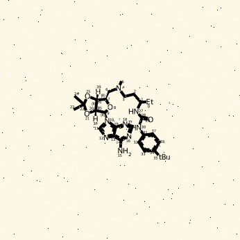 CCC(CCN(C)C[C@H]1O[C@@H](n2cnc3c(N)ncnc32)[C@@H]2OC(C)(C)O[C@@H]21)NC(=O)Nc1ccc(C(C)(C)C)cc1